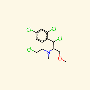 COCC(C(Cl)c1ccc(Cl)cc1Cl)N(C)CCCl